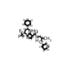 CC(CNC(=O)c1cnn2c1N[C@@H](c1ccccc1)C[C@H]2C(F)(F)F)Oc1cccnc1